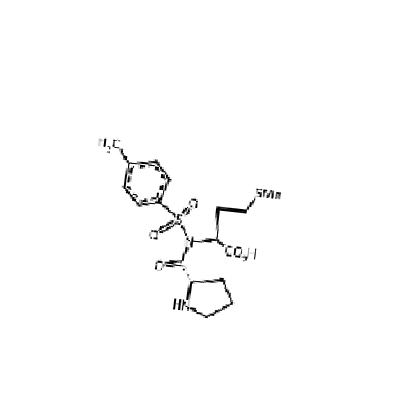 CSCC[C@@H](C(=O)O)N(C(=O)[C@@H]1CCCN1)S(=O)(=O)c1ccc(C)cc1